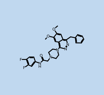 COc1cc2c(Cc3ccccc3)nnc(N3CCN(CC(=O)Nc4ccc(F)c(F)c4)CC3)c2cc1OC